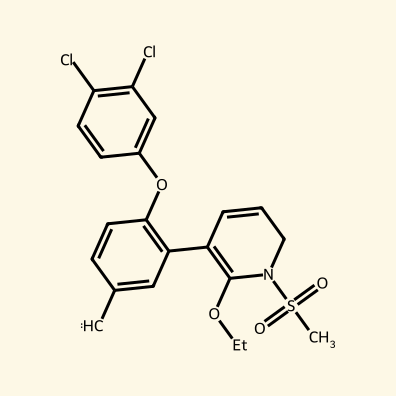 [CH]c1ccc(Oc2ccc(Cl)c(Cl)c2)c(C2=C(OCC)N(S(C)(=O)=O)CC=C2)c1